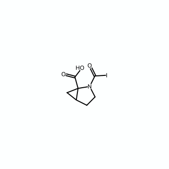 O=C(I)N1CCC2CC21C(=O)O